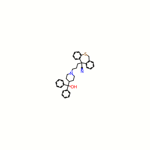 N#CC1(CCCN2CCC(C(O)(c3ccccc3)c3ccccc3)CC2)c2ccccc2CSc2ccccc21